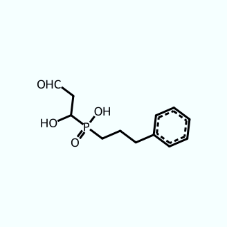 O=CCC(O)P(=O)(O)CCCc1ccccc1